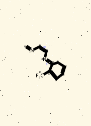 C=N/C=C\N=C1/CC=CC=C1C(F)(F)F